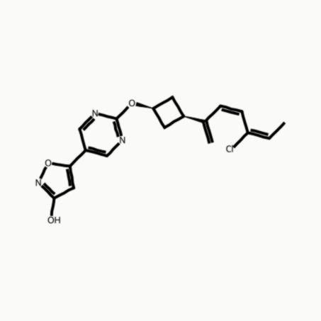 C=C(/C=C\C(Cl)=C/C)[C@H]1C[C@@H](Oc2ncc(-c3cc(O)no3)cn2)C1